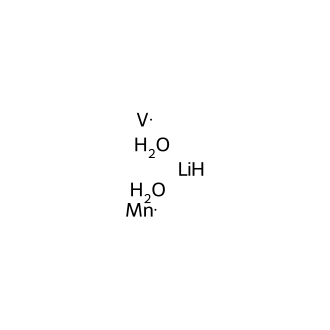 O.O.[LiH].[Mn].[V]